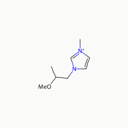 COC(C)Cn1cc[n+](C)c1